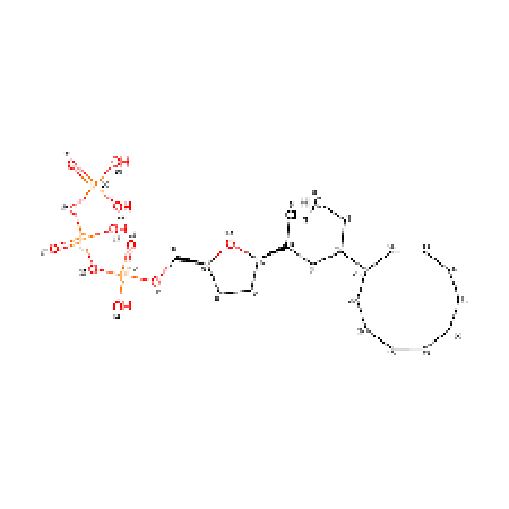 CCC(CC(C)[C@H]1CC[C@@H](COP(=O)(O)OP(=O)(O)OP(=O)(O)O)O1)C1CCCCCCCCC1